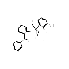 CCC(CC)(Pc1ccccc1C(O)c1ccccc1)c1cccc(C)c1O